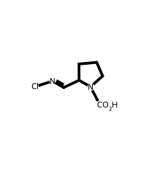 O=C(O)N1CCCC1C=NCl